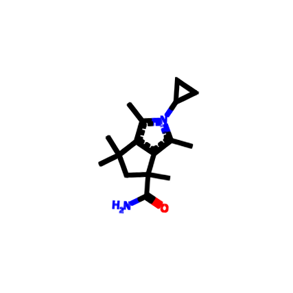 Cc1c2c(c(C)n1C1CC1)C(C)(C(N)=O)CC2(C)C